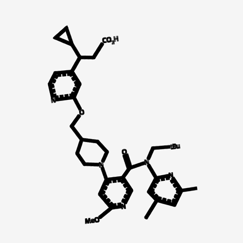 COc1cc(N2CCC(COc3cc(C(CC(=O)O)C4CC4)ccn3)CC2)c(C(=O)N(CC(C)(C)C)c2cc(C)cc(C)n2)cn1